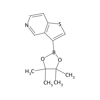 CC1(C)OB(c2csc3c[c]ncc23)OC1(C)C